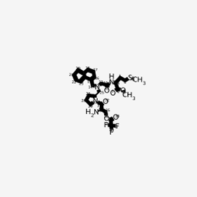 COC(=O)C(CCSC)NC(=O)CN(Cc1cccc2ccccc12)C[C@@H]1CCCN1C(=O)[C@@H](N)COC(=O)C(F)(F)F